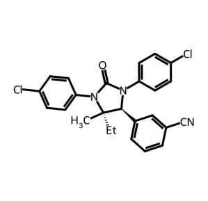 CC[C@@]1(C)[C@H](c2cccc(C#N)c2)N(c2ccc(Cl)cc2)C(=O)N1c1ccc(Cl)cc1